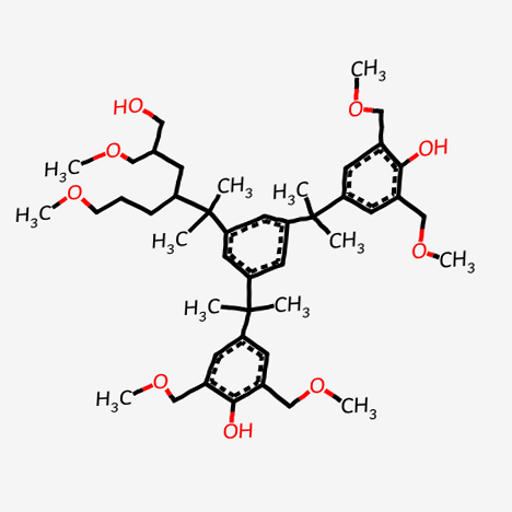 COCCCC(CC(CO)COC)C(C)(C)c1cc(C(C)(C)c2cc(COC)c(O)c(COC)c2)cc(C(C)(C)c2cc(COC)c(O)c(COC)c2)c1